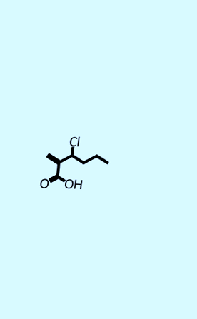 C=C(C(=O)O)C(Cl)CCC